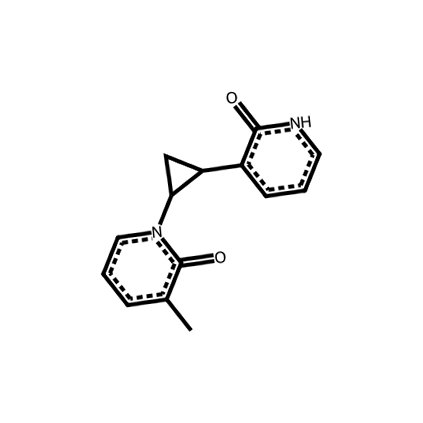 Cc1cccn(C2CC2c2ccc[nH]c2=O)c1=O